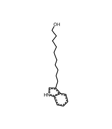 OCCCCCCCCCCc1c[nH]c2ccccc12